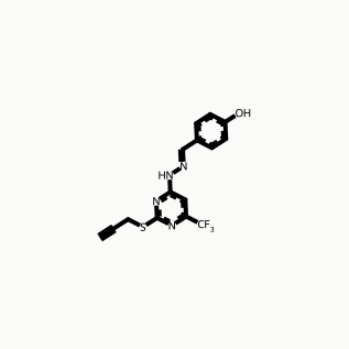 C#CCSc1nc(NN=Cc2ccc(O)cc2)cc(C(F)(F)F)n1